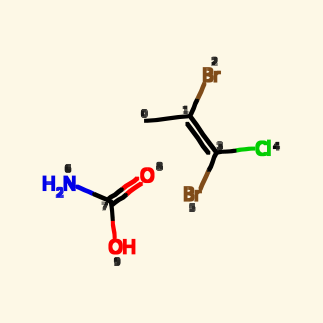 CC(Br)=C(Cl)Br.NC(=O)O